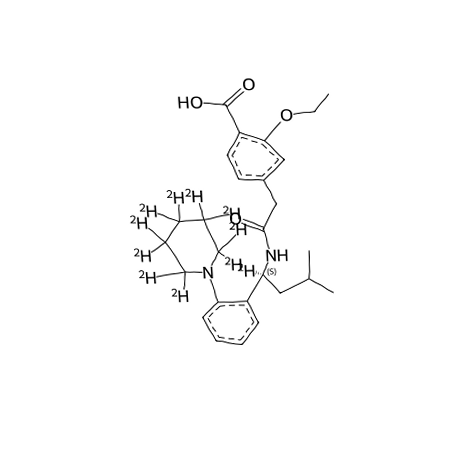 [2H]C1([2H])N(c2ccccc2[C@]([2H])(CC(C)C)NC(=O)Cc2ccc(C(=O)O)c(OCC)c2)C([2H])([2H])C([2H])([2H])C([2H])([2H])C1([2H])[2H]